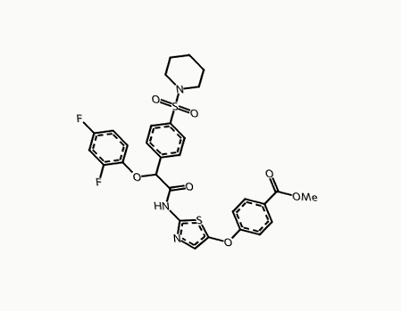 COC(=O)c1ccc(Oc2cnc(NC(=O)C(Oc3ccc(F)cc3F)c3ccc(S(=O)(=O)N4CCCCC4)cc3)s2)cc1